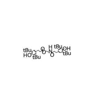 CC(C)(C)c1cc(CCC(=O)NCCOC(=O)CCc2cc(C(C)(C)C)c(O)c(C(C)(C)C)c2)cc(C(C)(C)C)c1O